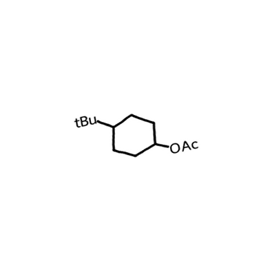 [CH2]C(=O)OC1CCC(C(C)(C)C)CC1